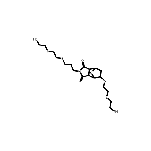 O=C1C2C3CC(SCCSCCS)C(O3)C2C(=O)N1CCCSCCSCCS